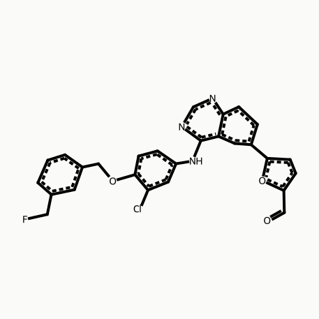 O=Cc1ccc(-c2ccc3ncnc(Nc4ccc(OCc5cccc(CF)c5)c(Cl)c4)c3c2)o1